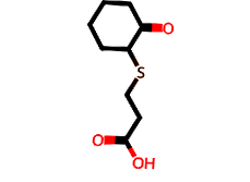 O=C(O)CCSC1CCCCC1=O